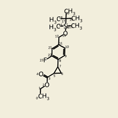 CCOC(=O)C1CC1c1ccc(CO[Si](C)(C)C(C)(C)C)cc1F